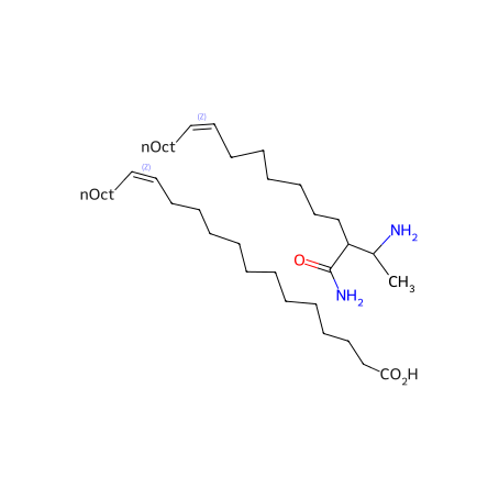 CCCCCCCC/C=C\CCCCCCC(C(N)=O)C(C)N.CCCCCCCC/C=C\CCCCCCCCCCCC(=O)O